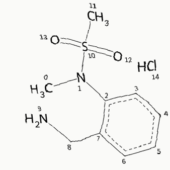 CN(c1ccccc1CN)S(C)(=O)=O.Cl